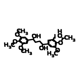 COc1cc(C(O)CCC(O)c2cc(OC)c(OC)c(OC)c2)cc(I)c1OC(C)O